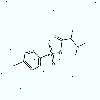 Cc1ccc(S(=O)(=O)OC(=O)C(C)N(C)C)cc1